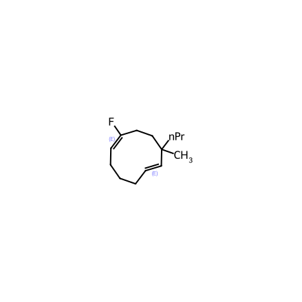 CCCC1(C)/C=C/CCC/C=C(/F)CC1